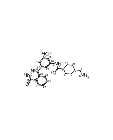 Cl.NCC1CCC(C(=O)Nc2cccc(-c3n[nH]c(=O)c4ccccc34)c2)CC1